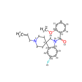 C=CCN1CCC2(CC1)CN(C(=O)c1ccccc1OC)c1ccc(F)cc12